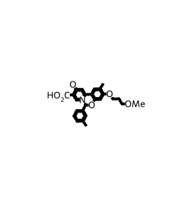 COCCCOc1cc2c(cc1C)-c1cc(=O)c(C(=O)O)cn1C(c1cccc(C)c1)O2